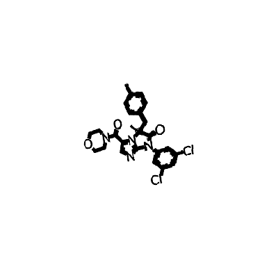 Cc1ccc(C[C@]2(C)C(=O)N(c3cc(Cl)cc(Cl)c3)c3ncc(C(=O)N4CCOCC4)n32)cc1